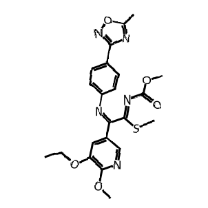 CCOc1cc(C(=Nc2ccc(-c3noc(C)n3)cc2)/C(=N/C(=O)OC)SC)cnc1OC